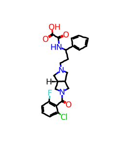 O=C(O)C(=O)NC(CCN1CC2CN(C(=O)c3c(F)cccc3Cl)C[C@@H]2C1)c1ccccc1